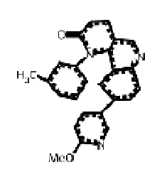 COc1ccc(-c2ccc3ncc4ccc(=O)n(-c5cccc(C)c5)c4c3c2)cn1